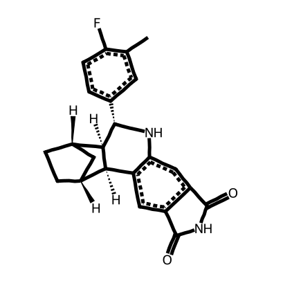 Cc1cc([C@@H]2Nc3cc4c(cc3[C@H]3[C@@H]5CC[C@@H](C5)[C@H]32)C(=O)NC4=O)ccc1F